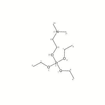 CC[O][Zr]([O]CC)([O]CC)[O]CCN(C)C